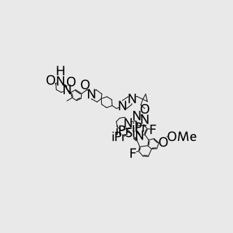 COCOc1cc(-c2ncc3c(N4CCCCCC4)nc(OCC4(CN5CCN(CC6CCC7(CC6)CCN(C(=O)c6ccc(C)c(N8CCC(=O)NC8=O)c6)CC7)CC5)CC4)nc3c2F)c2c(C#C[Si](C(C)C)(C(C)C)C(C)C)c(F)ccc2c1